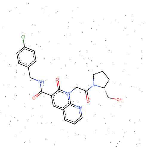 O=C(NCc1ccc(Cl)cc1)c1cc2cccnc2n(CC(=O)N2CCC[C@@H]2CO)c1=O